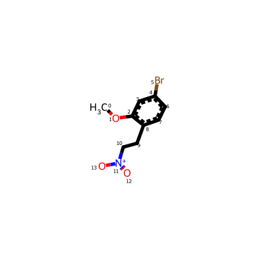 COc1cc(Br)ccc1CC[N+](=O)[O-]